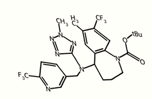 Cc1cc2c(cc1C(F)(F)F)N(C(=O)OC(C)(C)C)CCCC2N(Cc1ccc(C(F)(F)F)nc1)c1nnn(C)n1